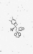 Cc1cc2c(cc1C)C(C#N)(CCC1(c3ccoc3)OCCO1)C2